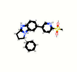 CS(=O)(=O)c1ccc(-c2ccc3nc4n(c3c2)[C@H](c2ccccc2)CC4)cn1